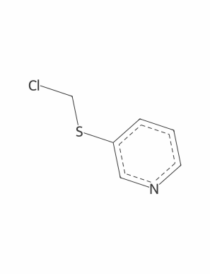 ClCSc1cccnc1